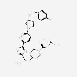 CC(C)OC(=O)N1CCC(O[C@H](C)c2noc(-c3ccc(N4C[C@H](N)[C@H](c5cc(F)ccc5F)C4)nn3)n2)CC1